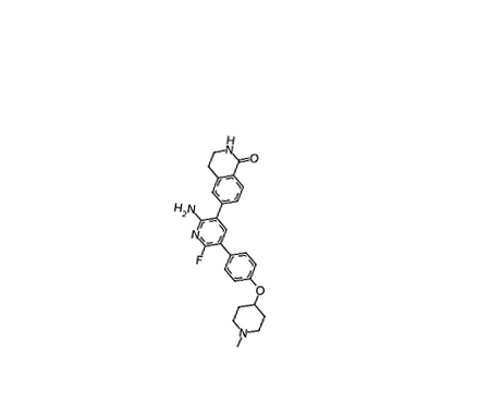 CN1CCC(Oc2ccc(-c3cc(-c4ccc5c(c4)CCNC5=O)c(N)nc3F)cc2)CC1